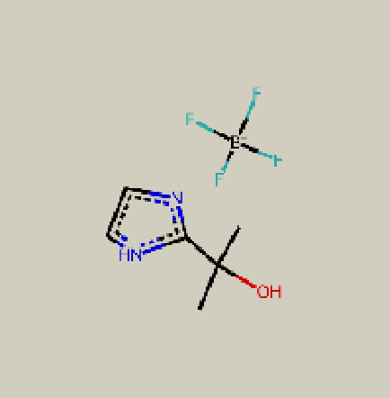 CC(C)(O)c1ncc[nH]1.F[B-](F)(F)F